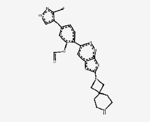 O=COc1cc(-c2c[nH]nc2F)ccc1-c1cc2sc(N3CC4(CCNCC4)C3)nc2nn1